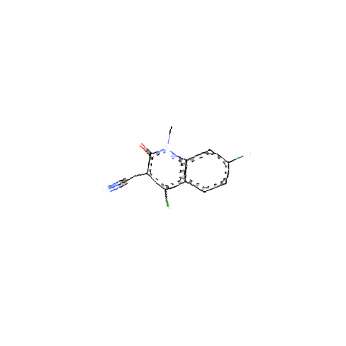 Cn1c(=O)c(C#N)c(Cl)c2ccc(Cl)cc21